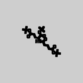 CC(C)(C)OC(=O)CCCC(=O)N[C@@H](CCC(=O)OC(C)(C)C)C(=O)OC(C)(C)C